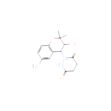 CC1(C)Oc2ccc(C#N)cc2C(N2NC(=O)CCC2=O)C1O